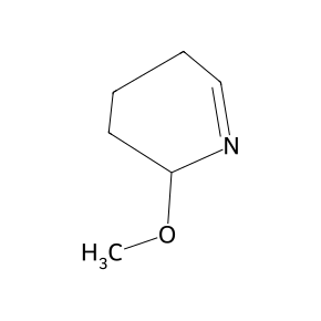 COC1CCCC=N1